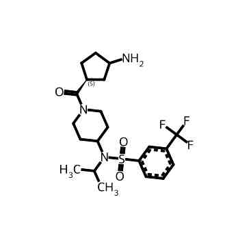 CC(C)N(C1CCN(C(=O)[C@H]2CCC(N)C2)CC1)S(=O)(=O)c1cccc(C(F)(F)F)c1